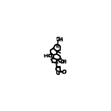 C[C@]12CC[C@H](O)CC1CCC1C2C[C@@H](O)[C@]2(C)[C@@H](C3=CC(=O)OC3)CC[C@]12O